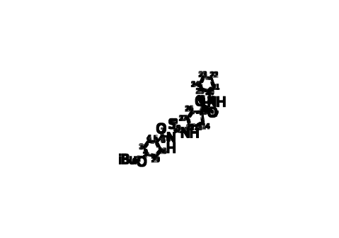 CCC(C)Oc1ccc(C(=O)NC(=S)Nc2ccc(S(=O)(=O)Nc3ccccc3)cc2)cc1